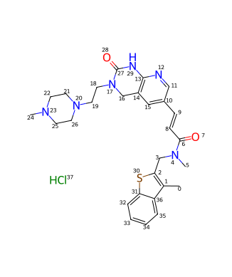 Cc1c(CN(C)C(=O)C=Cc2cnc3c(c2)CN(CCN2CCN(C)CC2)C(=O)N3)sc2ccccc12.Cl